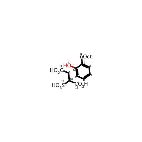 CCCCCCCCc1ccccc1O.O=C(O)CC(C(=O)O)S(=O)(=O)O